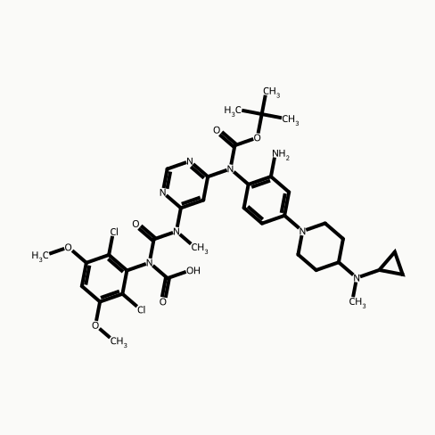 COc1cc(OC)c(Cl)c(N(C(=O)O)C(=O)N(C)c2cc(N(C(=O)OC(C)(C)C)c3ccc(N4CCC(N(C)C5CC5)CC4)cc3N)ncn2)c1Cl